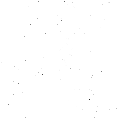 OCc1nc2cc(Cl)ccc2n1CCCCF